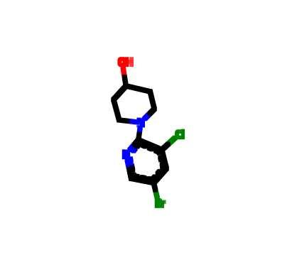 OC1CCN(c2ncc(Br)cc2Cl)CC1